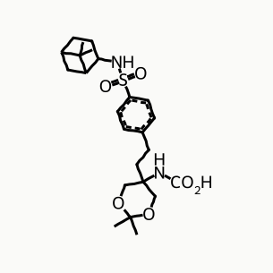 CC1(C)OCC(CCc2ccc(S(=O)(=O)NC3CCC4CC3C4(C)C)cc2)(NC(=O)O)CO1